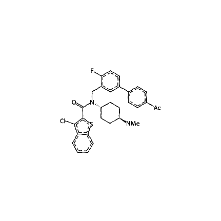 CN[C@H]1CC[C@H](N(Cc2cc(-c3ccc(C(C)=O)cc3)ccc2F)C(=O)c2sc3ccccc3c2Cl)CC1